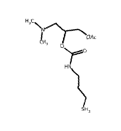 CC(=O)OCC(CN(C)C)OC(=O)NCCC[SiH3]